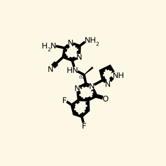 C[C@H](Nc1nc(N)nc(N)c1C#N)c1nc2c(F)cc(F)cc2c(=O)n1-c1cc[nH]n1